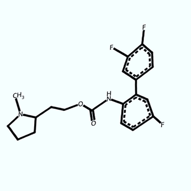 CN1CCCC1CCOC(=O)Nc1ccc(F)cc1-c1ccc(F)c(F)c1